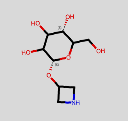 OCC1O[C@H](OC2CNC2)C(O)C(O)[C@@H]1O